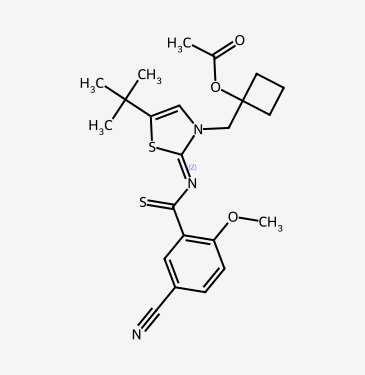 COc1ccc(C#N)cc1C(=S)/N=c1\sc(C(C)(C)C)cn1CC1(OC(C)=O)CCC1